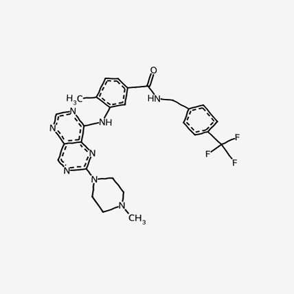 Cc1ccc(C(=O)NCc2ccc(C(F)(F)F)cc2)cc1Nc1ncnc2cnc(N3CCN(C)CC3)nc12